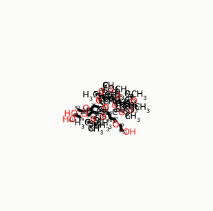 C[Si](C)(C)O[Si](C)(C)O[Si](C)(C)O[Si](C)(C)O[Si](C)(C)O[Si](C)(C)O[Si](C)(C)O[Si](C)(C)O[Si](C)(CCCOCCO)O[Si](C)(CCCOCCO)O[Si](C)(CCCOCCO)O[Si](C)(C)C